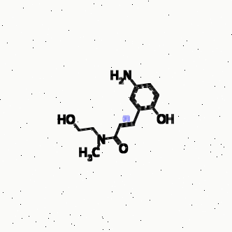 CN(CCO)C(=O)/C=C/c1cc(N)ccc1O